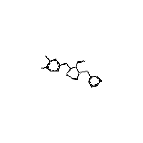 Cc1cc(CC2OCCN(Cc3ccccc3)C2C=O)ccc1F